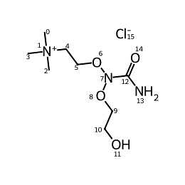 C[N+](C)(C)CCON(OCCO)C(N)=O.[Cl-]